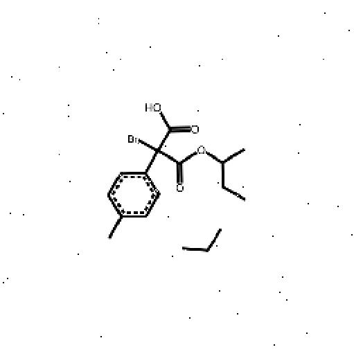 CCC.CCC(C)OC(=O)C(Br)(C(=O)O)c1ccc(C)cc1